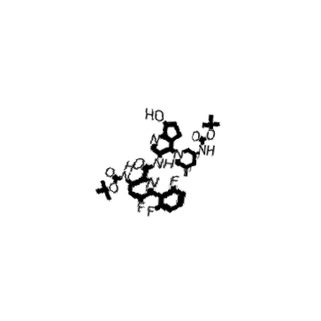 C[C@@H]1C[C@H](NC(=O)OC(C)(C)C)CN(c2c(NC(=O)c3nc(-c4c(F)cccc4F)c(F)cc3NC(=O)OC(C)(C)C)cnc3c2CCC3O)C1